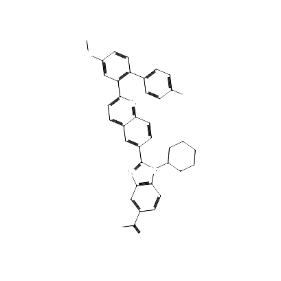 COc1ccc(-c2ccc(O)cc2)c(-c2ccc3cc(-c4nc5cc(C(=O)O)ccc5n4C4CCCCC4)ccc3n2)c1